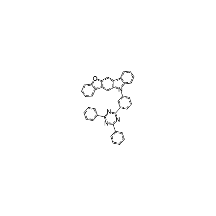 c1ccc(-c2nc(-c3ccccc3)nc(-c3cccc(-n4c5ccccc5c5cc6oc7ccccc7c6cc54)c3)n2)cc1